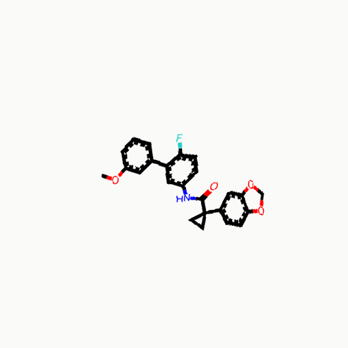 COc1cccc(-c2cc(NC(=O)C3(c4ccc5c(c4)OCO5)CC3)ccc2F)c1